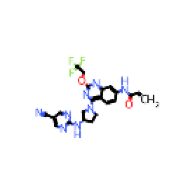 C=CC(=O)Nc1ccc2c(N3CC[C@@H](Nc4ncc(C#N)cn4)C3)nc(OCC(F)(F)F)nc2c1